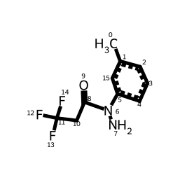 Cc1cccc(N(N)C(=O)CC(F)(F)F)c1